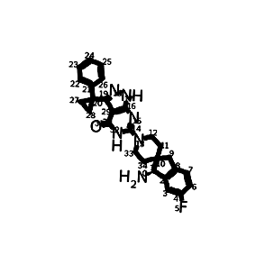 N[C@@H]1c2cc(F)ccc2CC12CCN(c1nc3[nH]nc(C4(c5ccccc5)CC4)c3c(=O)[nH]1)CC2